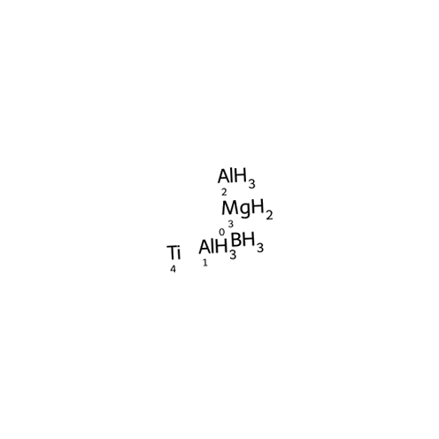 B.[AlH3].[AlH3].[MgH2].[Ti]